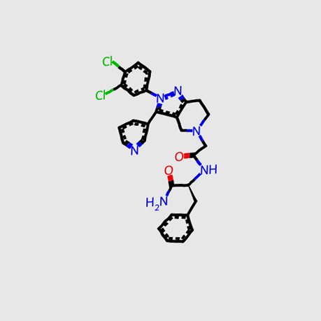 NC(=O)[C@H](Cc1ccccc1)NC(=O)CN1CCc2nn(-c3ccc(Cl)c(Cl)c3)c(-c3cccnc3)c2C1